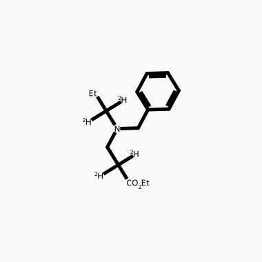 [2H]C([2H])(CN(Cc1ccccc1)C([2H])([2H])CC)C(=O)OCC